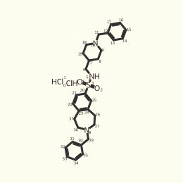 Cl.Cl.O=S(=O)(NCC1CCN(Cc2ccccc2)CC1)c1ccc2c(c1)CCN(Cc1ccccc1)CC2